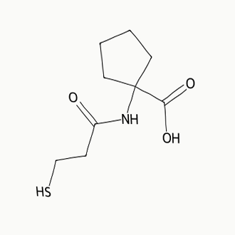 O=C(CCS)NC1(C(=O)O)CCCC1